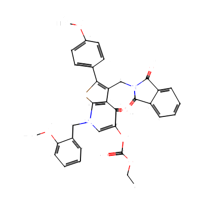 CCOC(=O)Oc1cn(Cc2ccccc2OC)c2sc(-c3ccc(OC)cc3)c(CN3C(=O)c4ccccc4C3=O)c2c1=O